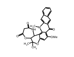 COc1cc2c(c3c1c(=O)c1cc4ccccc4cc1n3C)C1NC(=O)CC(=O)OC1C(C)(C)O2